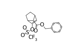 O=C(OCc1ccccc1)C1C2C=C(OS(=O)(=O)C(F)(F)F)C1CC2